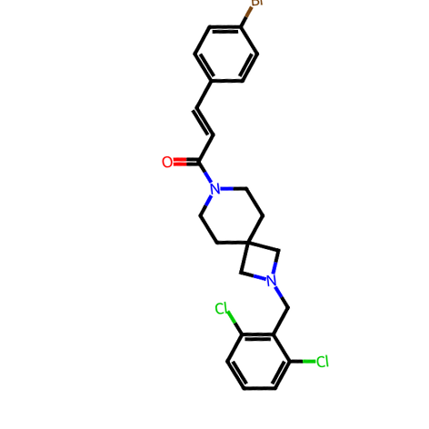 O=C(/C=C/c1ccc(Br)cc1)N1CCC2(CC1)CN(Cc1c(Cl)cccc1Cl)C2